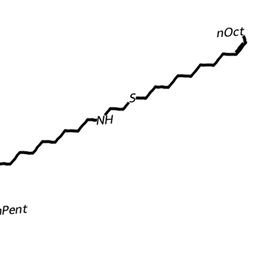 CCCCC/C=C\C/C=C\CCCCCCCCNCCSCCCCCCCC/C=C\CCCCCCCC